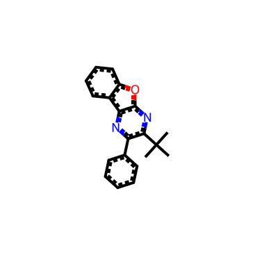 CC(C)(C)c1nc2oc3ccccc3c2nc1-c1ccccc1